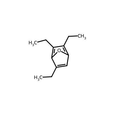 CCc1c(CC)c2oc1cc2CC